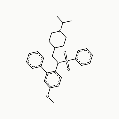 COc1ccc(N(CC2CCN(C(C)C)CC2)S(=O)(=O)c2ccccc2)c(-c2ccccc2)c1